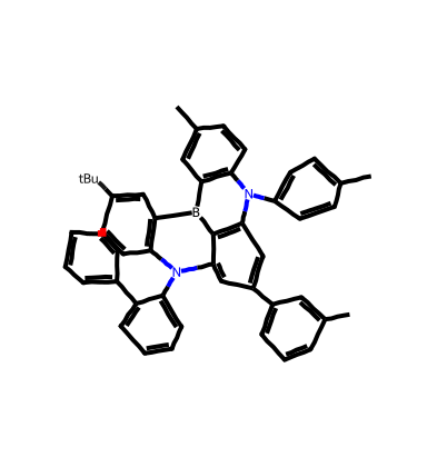 Cc1ccc(N2c3ccc(C)cc3B3c4cc(C(C)(C)C)ccc4N(c4ccccc4-c4ccccc4)c4cc(-c5cccc(C)c5)cc2c43)cc1